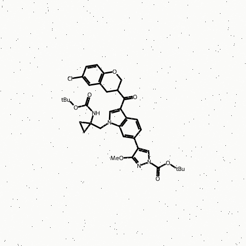 COc1nn(C(=O)OC(C)(C)C)cc1-c1ccc2c(C(=O)C3COc4ccc(Cl)cc4C3)cn(CC3(NC(=O)OC(C)(C)C)CC3)c2c1